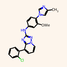 COc1cc(Nc2nc3c(-c4ccccc4Cl)cccn3n2)ccc1-n1cnc(C)c1